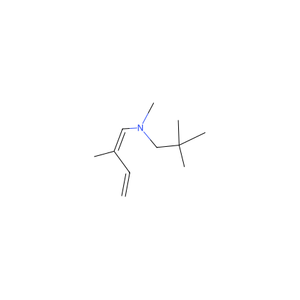 C=C/C(C)=C\N(C)CC(C)(C)C